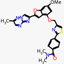 COc1cc(OCc2csc(-c3ccc(C(=O)N(C)C)cc3)n2)c2cc(-c3cn4nc(C)cnc4n3)oc2c1